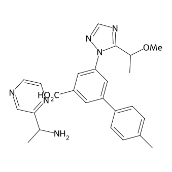 CC(N)c1cnccn1.COC(C)c1ncnn1-c1cc(C(=O)O)cc(-c2ccc(C)cc2)c1